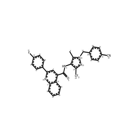 Cc1c(NC(=O)c2cc(-c3ccc(F)cc3)nc3ccccc23)c(C(F)(F)F)nn1Cc1ccc(C#N)cc1